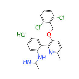 CC(=N)Nc1ccccc1-c1nc(C)ccc1OCc1c(Cl)cccc1Cl.Cl